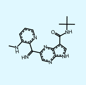 CNc1cccnc1C(=N)c1cnc2[nH]cc(C(=O)NC(C)(C)C)c2n1